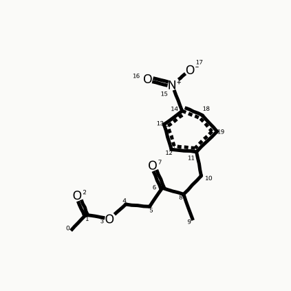 CC(=O)OCCC(=O)C(C)Cc1ccc([N+](=O)[O-])cc1